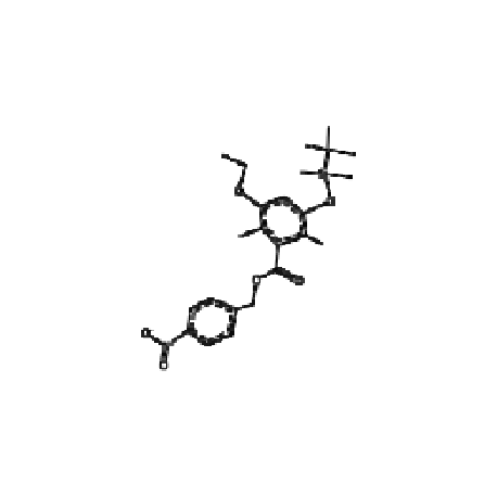 CCOc1cc(O[Si](C)(C)C(C)(C)C)c(C)c(C(=O)OCc2ccc([N+](=O)[O-])cc2)c1C